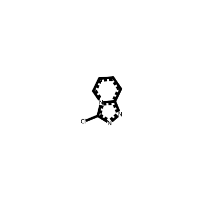 Clc1nnc2ccccn12